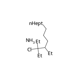 CCCCCCCCCCC(CC)C(Cl)(CC)CC.N